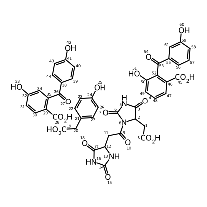 O=C(O)CC1C(=O)NC(=O)N1C(=O)CC1NC(=O)NC1=O.O=C(O)Cc1ccc(O)cc1.O=C(O)c1ccc(O)cc1C(=O)c1ccc(O)cc1.O=C(O)c1cccc(O)c1C(=O)c1cccc(O)c1